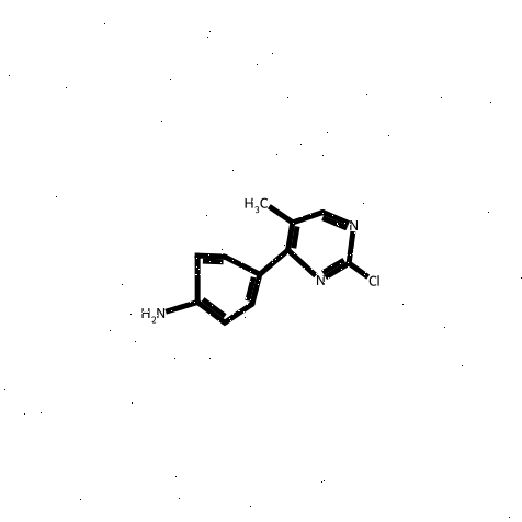 Cc1cnc(Cl)nc1-c1ccc(N)cc1